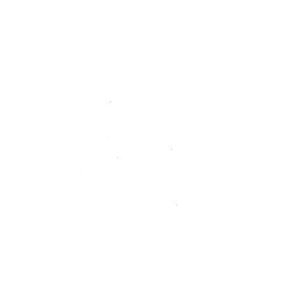 Cc1cnc(-c2ncccc2F)c(C(=O)N2CC3CCC2C(Oc2ccc(C(F)(F)F)cn2)C3)c1